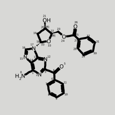 Nc1nc(C(=O)c2ccccc2)nc2c1ncn2[C@@H]1C[C@@H](O)[C@@H](COC(=O)c2ccccc2)O1